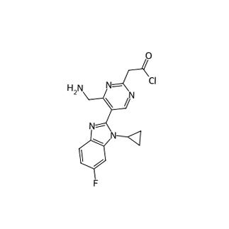 NCc1nc(CC(=O)Cl)ncc1-c1nc2ccc(F)cc2n1C1CC1